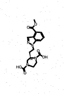 COC(=O)c1cccc2c1cnn2CC[C@@H]1CN(C(=O)O)CCN1C(=O)O